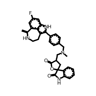 C=C1NCCc2c(-c3ccc(CN(C)CC4CC5(OC4=O)C(=O)Nc4ccccc45)cc3)[nH]c3cc(F)cc1c23